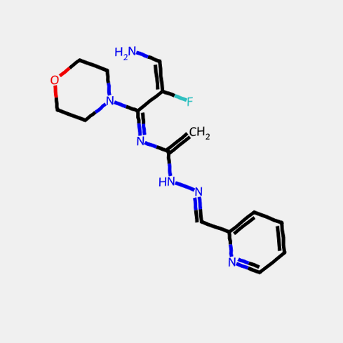 C=C(/N=C(\C(F)=C/N)N1CCOCC1)N/N=C/c1ccccn1